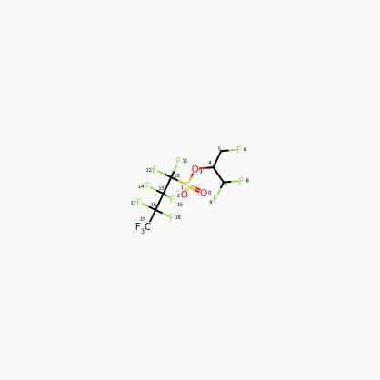 O=S(=O)(OC(CF)C(F)F)C(F)(F)C(F)(F)C(F)(F)C(F)(F)F